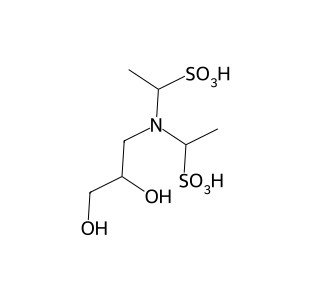 CC(N(CC(O)CO)C(C)S(=O)(=O)O)S(=O)(=O)O